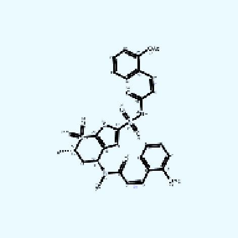 CCN(C(=O)/C=C\c1ccccc1OC(C)=O)[C@H]1C[C@H](C)S(=O)(=O)c2sc(S(=O)(=O)NC(=O)/C=C\c3ccccc3OC(C)=O)cc21